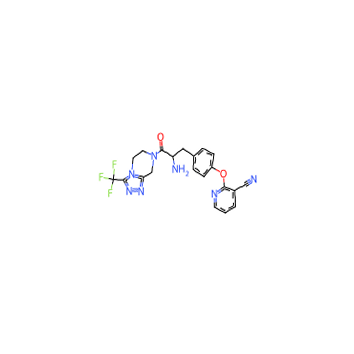 N#Cc1cccnc1Oc1ccc(CC(N)C(=O)N2CCn3c(nnc3C(F)(F)F)C2)cc1